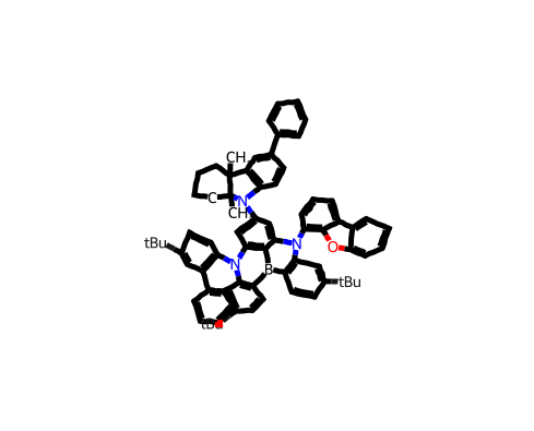 CC(C)(C)c1ccc(N2c3cc(C(C)(C)C)ccc3B3c4ccc(C(C)(C)C)cc4N(c4cccc5c4oc4ccccc45)c4cc(N5c6ccc(-c7ccccc7)cc6C6(C)CCCCC56C)cc2c43)c(-c2ccccc2)c1